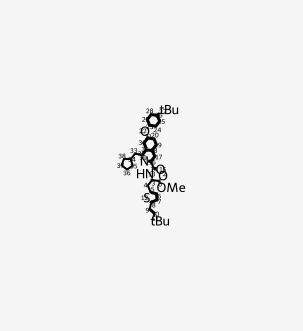 COC(=O)C(Cc1ccc(/C=C/C(C)(C)C)s1)NC(=O)c1cc2ccc(Oc3ccc(C(C)(C)C)cc3)cc2c(CC2CCCC2)n1